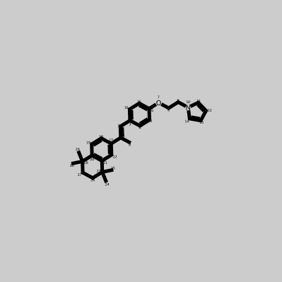 C/C(=C\c1ccc(OCCn2cccc2)cc1)c1ccc2c(c1)C(C)(C)CCC2(C)C